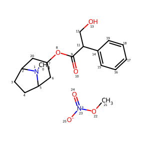 CN1C2CCC1CC(OC(=O)C(CO)c1ccccc1)C2.CO[N+](=O)[O-]